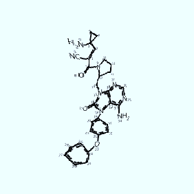 N#CC(=CC1(N)CC1)C(=O)N1CCCC1Cn1c(=O)n(-c2ccc(Oc3ccccc3)cc2)c2c(N)ncnc21